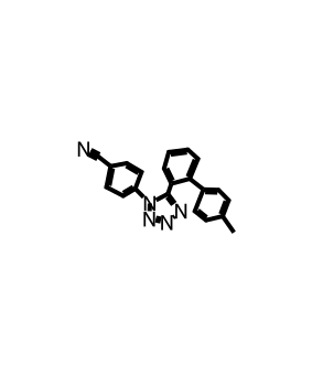 Cc1ccc(-c2ccccc2-c2nnnn2-c2ccc(C#N)cc2)cc1